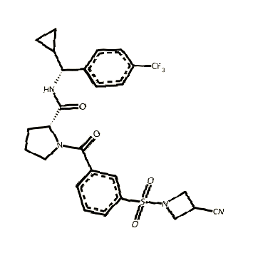 N#CC1CN(S(=O)(=O)c2cccc(C(=O)N3CCC[C@@H]3C(=O)N[C@@H](c3ccc(C(F)(F)F)cc3)C3CC3)c2)C1